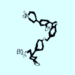 CCOC(=O)CC1(c2ccc(OCc3ccc4scc(-c5ccc(C6CCS(=O)(=O)CC6)cc5C)c4c3)cc2)CC(=O)C1